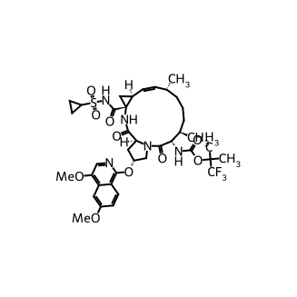 COc1ccc2c(O[C@@H]3C[C@H]4C(=O)N[C@]5(C(=O)NS(=O)(=O)C6CC6)C[C@H]5/C=C\[C@H](C)CCC[C@@H](C)[C@H](NC(=O)OC(C)(C)C(F)(F)F)C(=O)N4C3)ncc(OC)c2c1